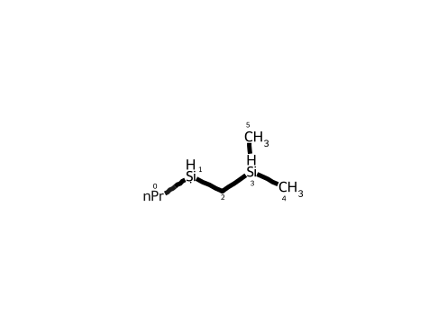 CCC[SiH]C[SiH](C)C